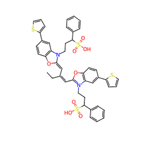 CCC(=Cc1oc2ccc(-c3cccs3)cc2[n+]1CCC(c1ccccc1)S(=O)(=O)O)C=C1Oc2ccc(-c3cccs3)cc2N1CCC(c1ccccc1)S(=O)(=O)O